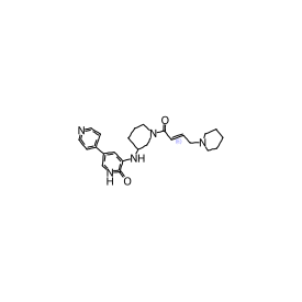 O=C(/C=C/CN1CCCCC1)N1CCCC(Nc2cc(-c3ccncc3)c[nH]c2=O)C1